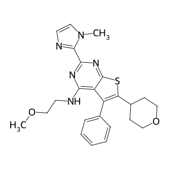 COCCNc1nc(-c2nccn2C)nc2sc(C3CCOCC3)c(-c3ccccc3)c12